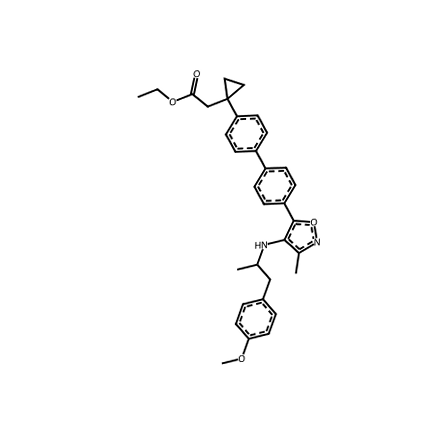 CCOC(=O)CC1(c2ccc(-c3ccc(-c4onc(C)c4NC(C)Cc4ccc(OC)cc4)cc3)cc2)CC1